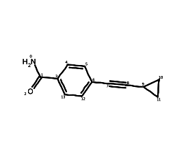 NC(=O)c1ccc(C#CC2CC2)cc1